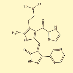 CCN(CC)CCc1c(C)[nH]c(C=C2C(=O)NN=C2c2cnccn2)c1C(=O)c1ncc[nH]1